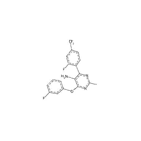 Cc1nc(Oc2cccc(F)c2)c(N)c(-c2ccc(C(F)(F)F)cc2F)n1